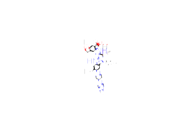 COc1cc(N2CCC(N3CCN(C)CC3)CC2)c(C)cc1Nc1ncc(Br)c(Nc2cc3c(cc2C(C)(C)O)OCC3)n1